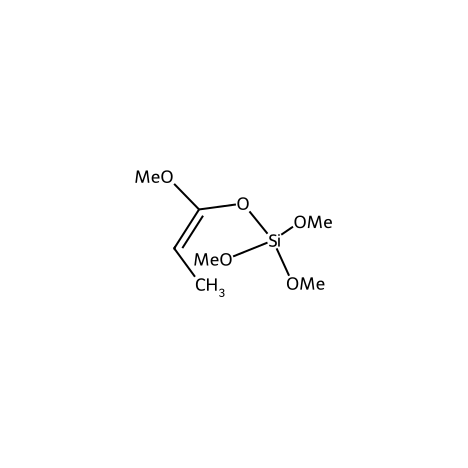 CC=C(OC)O[Si](OC)(OC)OC